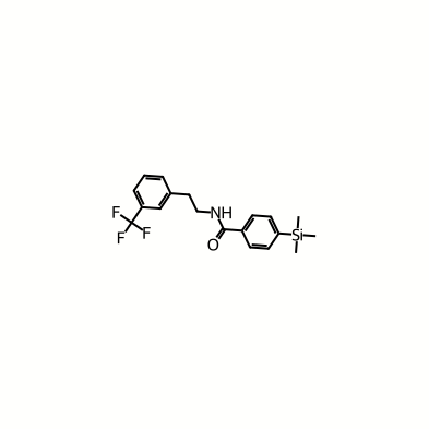 C[Si](C)(C)c1ccc(C(=O)NCCc2cccc(C(F)(F)F)c2)cc1